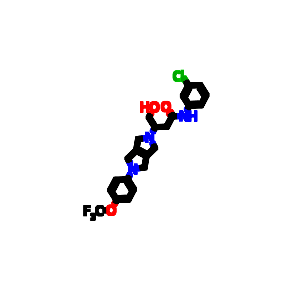 O=C(CC(CO)N1CC2=C(CN(c3ccc(OC(F)(F)F)cc3)C2)C1)Nc1cccc(Cl)c1